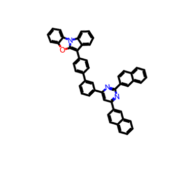 c1cc(-c2ccc(-c3c4ccccc4n4c3oc3ccccc34)cc2)cc(-c2cc(-c3ccc4ccccc4c3)nc(-c3ccc4ccccc4c3)n2)c1